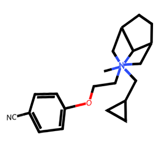 CN(CC1CC1)C1C2CCC1CN(CCOc1ccc(C#N)cc1)C2